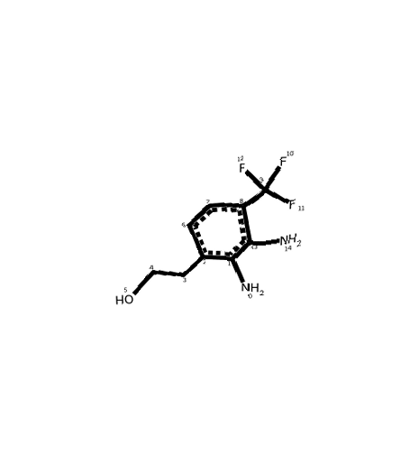 Nc1c(CCO)ccc(C(F)(F)F)c1N